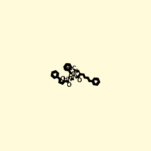 O=CN(C[C@@H](CCCCc1ccccc1)C(=O)NCNC(=O)c1ccc(-c2ccccc2)o1)OCc1ccccc1